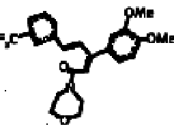 COc1ccc(C(C=Cc2cccc(C(F)(F)F)c2)=CC(=O)N2CCOCC2)cc1OC